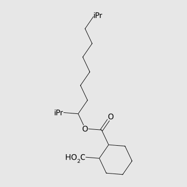 CC(C)CCCCCCC(OC(=O)C1CCCCC1C(=O)O)C(C)C